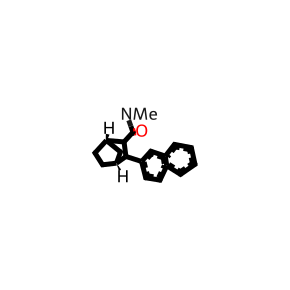 CNC(=O)C1C(c2ccc3ccccc3c2)[C@H]2CC[C@H]1C2